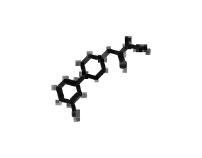 NNC(=O)CN1CCN(c2cccc(Cl)c2)CC1